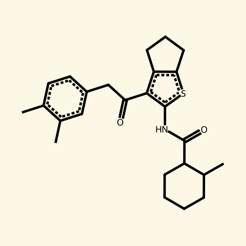 Cc1ccc(CC(=O)c2c(NC(=O)C3CCCCC3C)sc3c2CCC3)cc1C